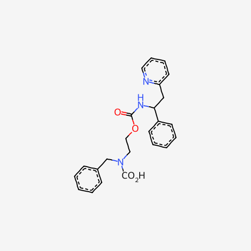 O=C(NC(Cc1ccccn1)c1ccccc1)OCCN(Cc1ccccc1)C(=O)O